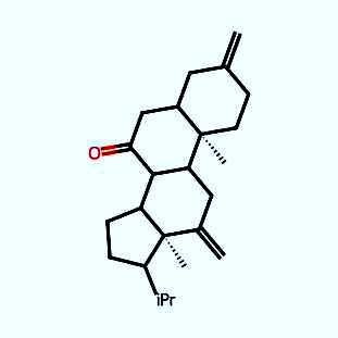 C=C1CC[C@]2(C)C(C1)CC(=O)C1C2CC(=C)[C@@]2(C)C(C(C)C)CCC12